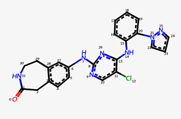 O=C1Cc2ccc(Nc3ncc(Cl)c(Nc4ccccc4-n4cccn4)n3)cc2CCN1